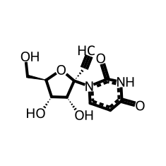 C#C[C@@]1(n2ccc(=O)[nH]c2=O)O[C@H](CO)[C@@H](O)[C@H]1O